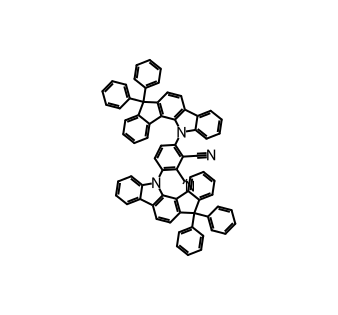 N#Cc1c(-n2c3ccccc3c3ccc4c(c32)-c2ccccc2C4(c2ccccc2)c2ccccc2)ccc(-n2c3ccccc3c3ccc4c(c32)-c2ccccc2C4(c2ccccc2)c2ccccc2)c1C#N